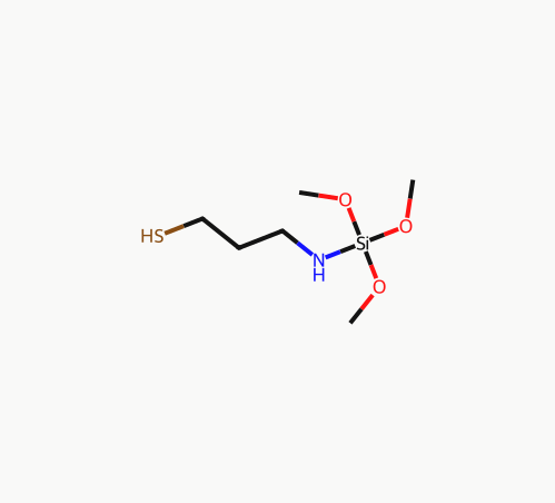 CO[Si](NCCCS)(OC)OC